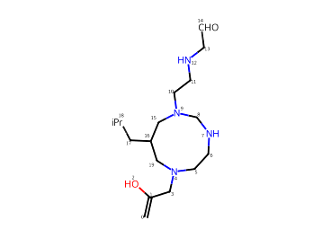 C=C(O)CN1CCNCN(CCNCC=O)CC(CC(C)C)C1